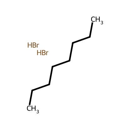 Br.Br.CCCCCCCC